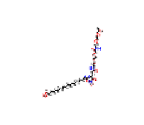 CC(=O)COCCOCCNC(=O)COCCOCCNC(=O)CC[C@H](NC(=O)CCCCCCCCCCCCCCCCCCC(=O)O)C(=O)N=O